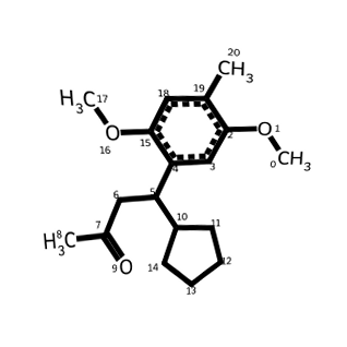 COc1cc(C(CC(C)=O)C2CCCC2)c(OC)cc1C